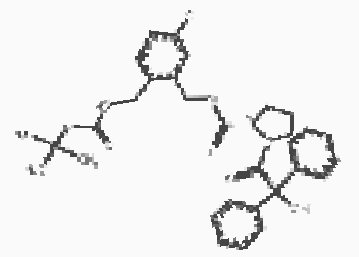 CC(C)(C)OC(=O)NCc1ccc(Cl)cc1CNC(=O)[C@@H]1CCCN1C(=O)C(O)(c1ccccc1)c1ccccc1